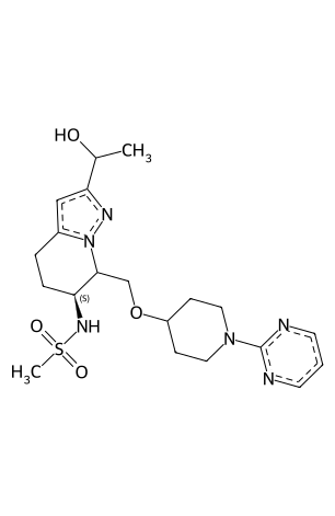 CC(O)c1cc2n(n1)C(COC1CCN(c3ncccn3)CC1)[C@@H](NS(C)(=O)=O)CC2